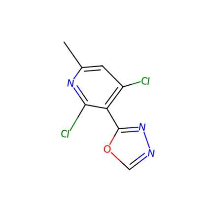 Cc1cc(Cl)c(-c2nnco2)c(Cl)n1